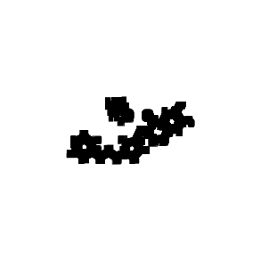 Cc1cc2c(cc1C)C(=O)N(CC1CCN(CCCc3ccncc3)C1)CC2.Cl.Cl.O